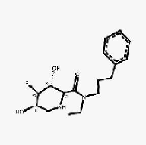 CCN(CCCc1ccccc1)C(=O)[C@H]1NC[C@@H](O)[C@@H](F)[C@@H]1O